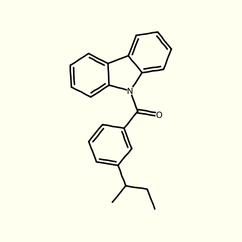 CCC(C)c1cccc(C(=O)n2c3ccccc3c3ccccc32)c1